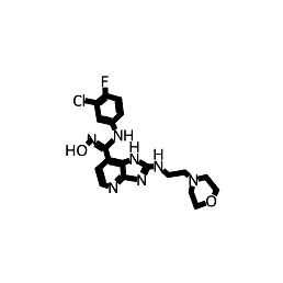 O/N=C(/Nc1ccc(F)c(Cl)c1)c1ccnc2nc(NCCN3CCOCC3)[nH]c12